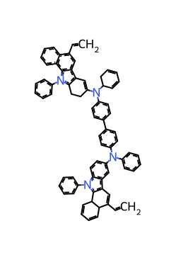 C=CC1=Cc2c(n(-c3ccccc3)c3ccc(N(c4ccccc4)c4ccc(-c5ccc(N(C6=Cc7c(n(-c8ccccc8)c8c7cc(C=C)c7ccccc78)CC6)C6C=CC=CC6)cc5)cc4)cc23)C2C=CC=CC12